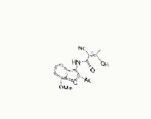 COc1cccc2c(NC(=O)/C(C#N)=C(/C)O)c(C(C)=O)oc12